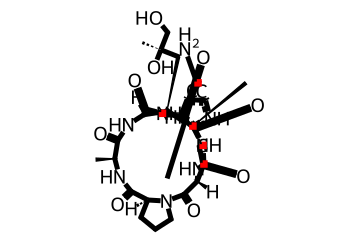 C[C@@H]1NC(=O)[C@H](C[C@@](C)(O)CO)NC(=O)[C@@H]2Cc3c([nH]c4ccc(N)cc34)SC[C@@H](NC(=O)CNC1=O)C(=O)N1CCC[C@H]1C(=O)N[C@@H](C)C(=O)N2